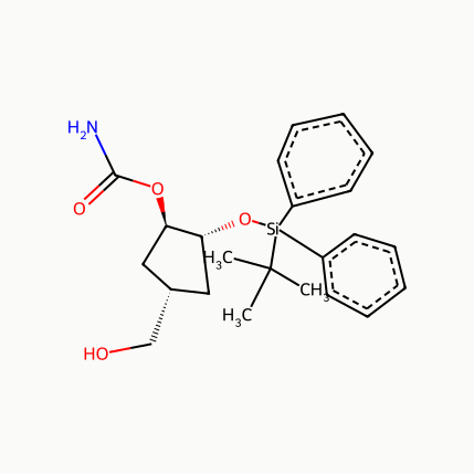 CC(C)(C)[Si](O[C@@H]1C[C@H](CO)C[C@H]1OC(N)=O)(c1ccccc1)c1ccccc1